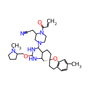 C=CC(=O)N1CCN(C2NC(OCC3CCCN3C)NC3C[C@]4(CCc5ccc(C)cc5O4)CCC32)CC1CC#N